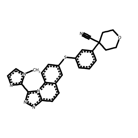 Cn1ccnc1-c1nnc2ccc3cc(Sc4cccc(C5(C#N)CCOCC5)c4)ccc3n12